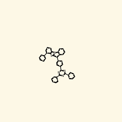 c1ccc(-c2nc(-c3ccccc3)nc(-c3ccc(-c4c5ccccc5n5c4sc4c(-c6ccccc6)cccc45)cc3)n2)cc1